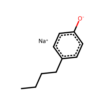 CCCCc1ccc([O-])cc1.[Na+]